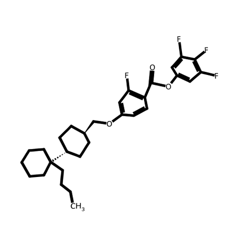 CCCCC1([C@H]2CC[C@H](COc3ccc(C(=O)Oc4cc(F)c(F)c(F)c4)c(F)c3)CC2)CCCCC1